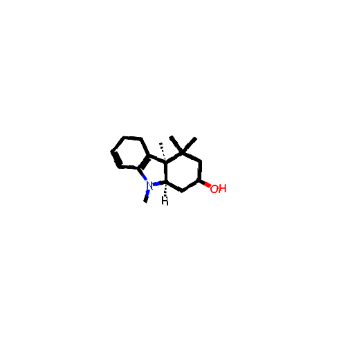 CN1C2=C(CCC=C2)[C@]2(C)[C@H]1CC(O)CC2(C)C